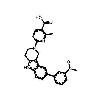 Cc1nc(N2CCc3[nH]c4ccc(-c5cccc([S+](C)[O-])c5)cc4c3C2)ncc1C(=O)O